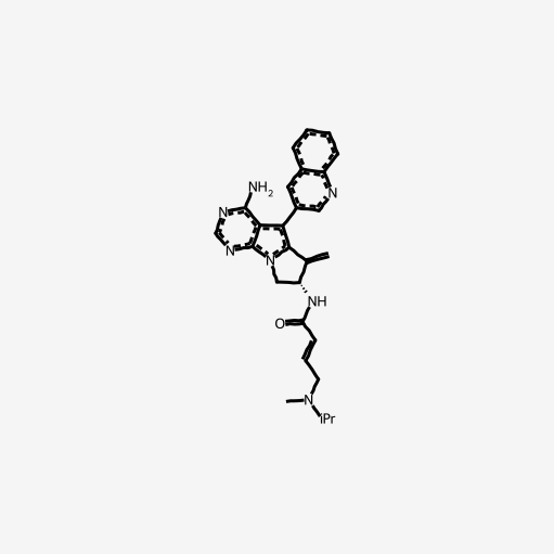 C=C1c2c(-c3cnc4ccccc4c3)c3c(N)ncnc3n2C[C@H]1NC(=O)/C=C/CN(C)C(C)C